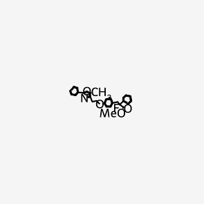 COC(=O)C(F)(Cc1ccc(OCCc2nc(-c3ccccc3)oc2C)cc1)c1ccccc1